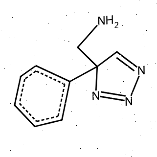 NCC1(c2ccccc2)C=NN=N1